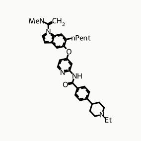 C=C(NC)n1ccc2cc(Oc3ccnc(NC(=O)c4ccc(C5CCN(CC)CC5)cc4)c3)c(CCCCC)cc21